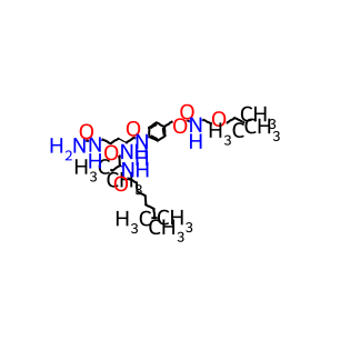 CC(C)[C@H](NC(=O)CCCCCC(C)(C)C)C(=O)N[C@@H](CCCNC(N)=O)C(=O)Nc1ccc(COC(=O)NCCOCCC(C)(C)C)cc1